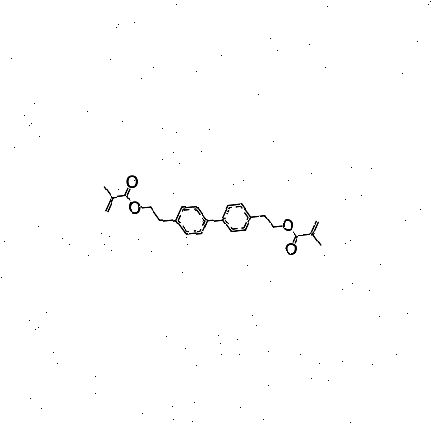 C=C(C)C(=O)OCCc1ccc(-c2ccc(CCOC(=O)C(=C)C)cc2)cc1